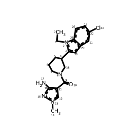 CCn1c(C2CCCN(C(=O)c3cn(C)nc3N)C2)cc2cc(Cl)ccc21